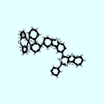 c1ccc(-c2nc(-c3ccc4sc5ccc(-c6cccc7c6-c6ccccc6C76c7ccccc7Oc7ccccc76)cc5c4c3)c3sc4ccccc4c3n2)cc1